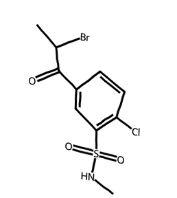 CNS(=O)(=O)c1cc(C(=O)C(C)Br)ccc1Cl